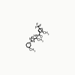 C[C@H]1CCCN(c2noc([C@@H](C)NC(=O)c3cc(C(F)(F)F)nn3C)n2)C1